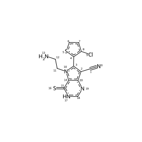 N#Cc1c(-c2sccc2Cl)n(CCN)c2c(=S)[nH]cnc12